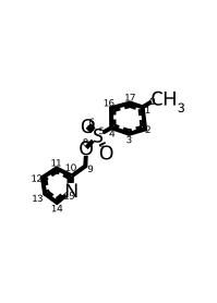 Cc1ccc(S(=O)(=O)OCc2ccccn2)cc1